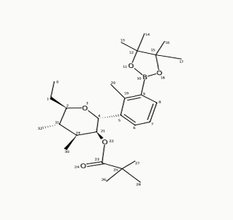 CC[C@H]1O[C@H](c2cccc(B3OC(C)(C)C(C)(C)O3)c2C)[C@@H](OC(=O)C(C)(C)C)[C@@H](C)[C@@H]1C